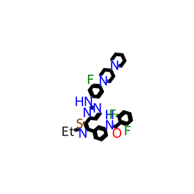 CCc1nc(-c2cccc(NC(=O)c3c(F)cccc3F)c2)c(-c2ccnc(Nc3ccc(N4CCC(N5CCCCC5)CC4)c(F)c3)n2)s1